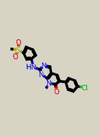 Cn1c(=O)c(-c2ccc(Cl)cc2)cc2cnc(Nc3cccc(S(C)(=O)=O)c3)nc21